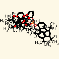 CCCCCC1(c2ccc(C(C)(C)CC)cc2C(C)(C)CC)C(c2ccc(C(C)(C)CC)cc2C(C)(C)CC)=CC=CC1OP(OC1C=CC=C(c2ccc(C(C)(C)CC)cc2C(C)(C)CC)C1(CCCCC)c1ccc(C(C)(C)CC)cc1C(C)(C)CC)OC1C=CC=C(c2ccc(C(C)(C)CC)cc2C(C)(C)CC)C1(CCCCC)c1ccc(C(C)(C)CC)cc1C(C)(C)CC